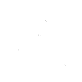 Cc1nc(C(=O)Nc2cc(-c3cccc(C#N)c3)cc3[nH]ncc23)cs1